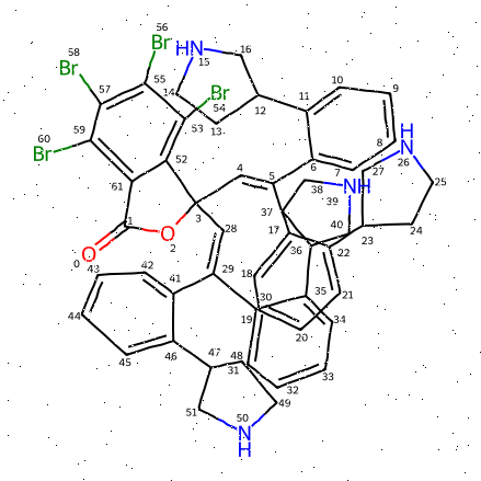 O=C1OC(C=C(c2ccccc2C2CCNC2)c2ccccc2C2CCNC2)(C=C(c2ccccc2C2CCNC2)c2ccccc2C2CCNC2)c2c(Br)c(Br)c(Br)c(Br)c21